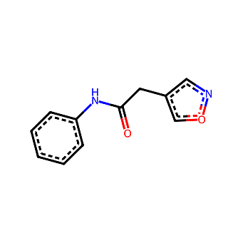 O=C(Cc1cnoc1)Nc1ccccc1